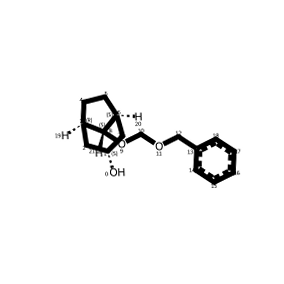 O[C@@H]1C[C@H]2CC[C@@H](C1)[C@@H]2OCOCc1ccccc1